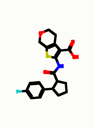 O=C(O)c1c(NC(=O)C2CCCC2c2ccc(F)cc2)sc2c1CCOC2